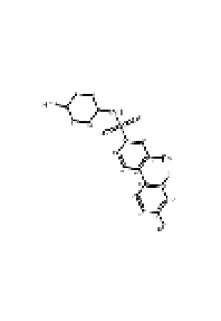 O=S(=O)(NC1CCC(O)CC1)c1ccc(-c2ccc(F)cc2F)c(F)c1